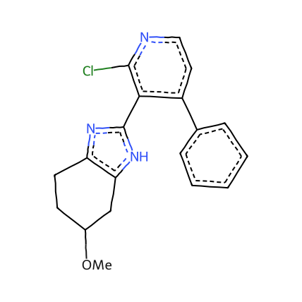 COC1CCc2nc(-c3c(-c4ccccc4)ccnc3Cl)[nH]c2C1